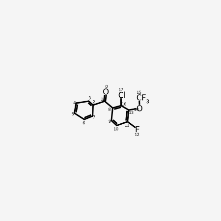 O=C(c1ccccc1)c1ccc(F)c(OC(F)(F)F)c1Cl